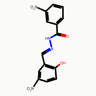 O=C(NN=Cc1cc([N+](=O)[O-])ccc1O)c1cccc([N+](=O)[O-])c1